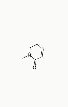 CN1CCN=CC1=O